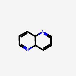 C1=CC2N=CC=CC2N=C1